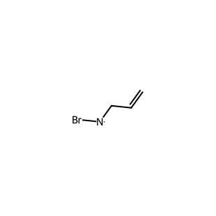 C=CC[N]Br